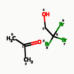 CC(C)=O.OCC(Br)(Br)Br